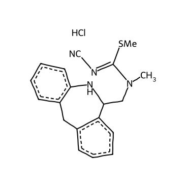 CSC(=NC#N)N(C)CC1Nc2ccccc2Cc2ccccc21.Cl